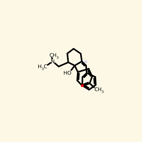 Cc1ccc(C2(O)/C(=C\c3ccccc3)CCCC2CN(C)C)cc1